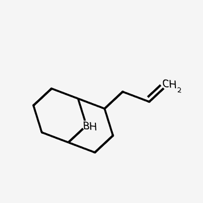 C=CCC1CCC2BC1CCC2